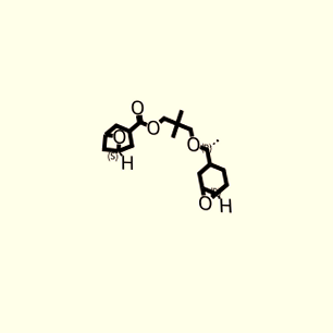 C[C@@H](OCC(C)(C)COC(=O)C1CC2C[C@H](C1)O2)C1CC[C@H]2OC2C1